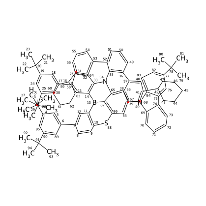 CC(C)(C)c1cc(-c2ccc3c(c2)B2c4cc(-c5cc(C(C)(C)C)cc(C(C)(C)C)c5)ccc4N(c4c(-c5cccc(C6CCCCC6)c5)cccc4-c4cccc(C5CCCCC5)c4)c4cc(-n5c6ccccc6c6cc(C(C)(C)C)ccc65)cc(c42)S3)cc(C(C)(C)C)c1